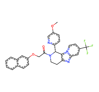 COc1ccc(C2c3c(nc4cc(C(F)(F)F)ccn34)CCN2C(=O)COc2ccc3ccccc3c2)nc1